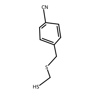 N#Cc1ccc(CSCS)cc1